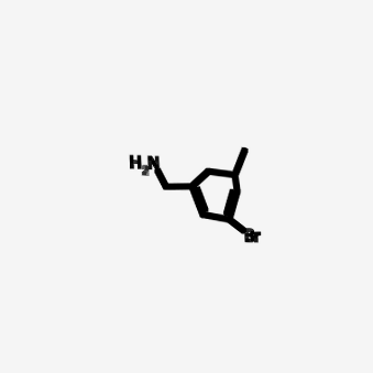 CC1C=C(Br)C=C(CN)C1